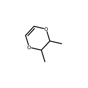 CC1OC=COC1C